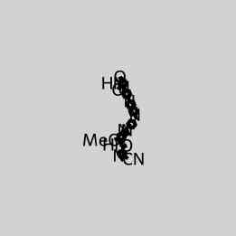 COc1cc2nn([C@H]3CC[C@H](CN4CCC5(CC4)CCN(c4ccc(N6CCC(=O)NC6=O)cc4)CC5)CC3)cc2cc1NC(=O)c1cncc(C#N)c1